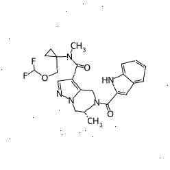 CC1Cn2ncc(C(=O)N(C)C3(COC(F)F)CC3)c2CN1C(=O)c1cc2ccccc2[nH]1